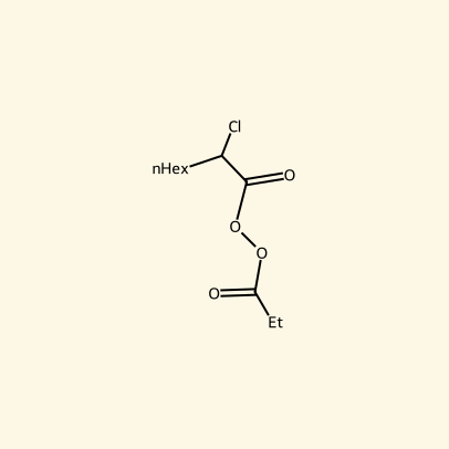 CCCCCCC(Cl)C(=O)OOC(=O)CC